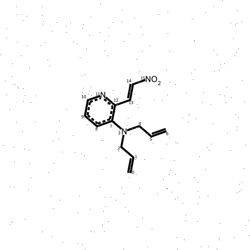 C=CCN(CC=C)c1cccnc1C=C[N+](=O)[O-]